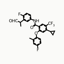 Cc1cc(F)ccc1Oc1cc(C2CC2)c(C(F)(F)F)cc1C(=O)Nc1ccc(F)c(C(C)C=O)c1